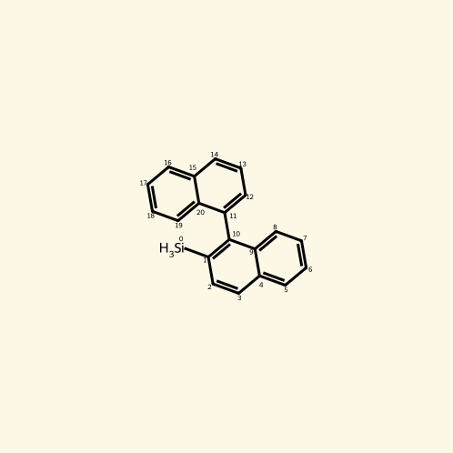 [SiH3]c1ccc2ccccc2c1-c1cccc2ccccc12